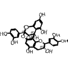 Oc1cc(O)c2c(c1)O[C@@]1(c3ccc(O)c(O)c3)Oc3cc(O)c4c(c3[C@@H]2C1O)OC(c1ccc(O)c(O)c1)[C@H](O)C4